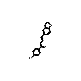 CC(C)c1ccc(C(=O)C/C=C/c2ccc3c(c2)OCO3)cc1